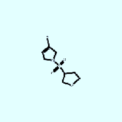 CCC1=CCN(S(=O)(=O)C2CCOC2)C1